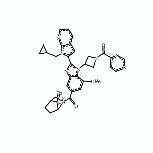 COc1cc(C(=O)N2CC3CCC2[C@@H]3N)cc2nc(-c3cc4cccnc4n3CC3CC3)n(C3CN(C(=O)c4ccncn4)C3)c12